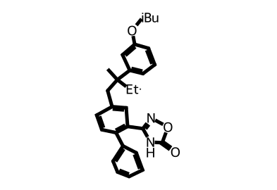 C[CH]C(C)(Cc1ccc(-c2ccccc2)c(-c2noc(=O)[nH]2)c1)c1cccc(OC(C)CC)c1